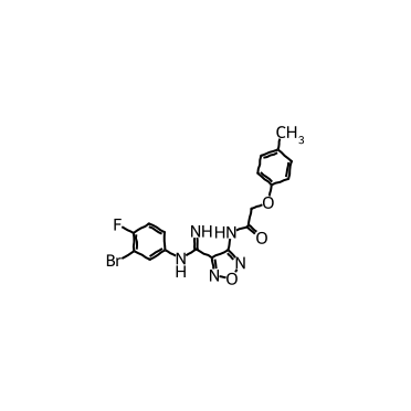 Cc1ccc(OCC(=O)Nc2nonc2C(=N)Nc2ccc(F)c(Br)c2)cc1